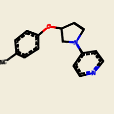 N#Cc1ccc(OC2CCN(c3ccncc3)C2)cc1